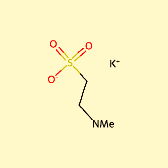 CNCCS(=O)(=O)[O-].[K+]